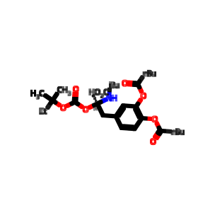 CCCCC(=O)Oc1ccc(C[C@](NC(C)CC)(OC(=O)OC(C)(C)CC)C(=O)O)cc1OC(=O)CCCC